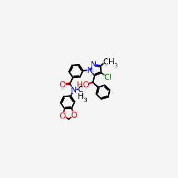 Cc1nn(-c2cccc(C(=O)N(C)c3ccc4c(c3)OCO4)c2)c(C(O)c2ccccc2)c1Cl